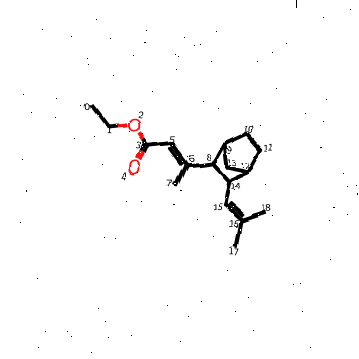 CCOC(=O)/C=C(\C)C1C2CCC(C2)C1C=C(C)C